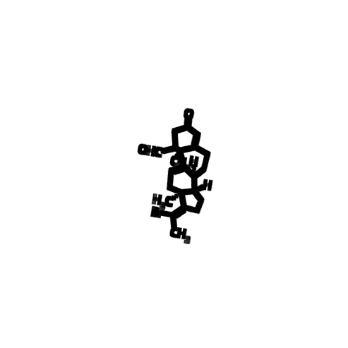 CC(Br)=C1CC[C@H]2[C@@H]3CCC4=CC(=O)CC(C=O)[C@]4(C)C3=CC[C@]12C